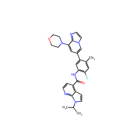 Cc1cc(F)c(NC(=O)c2ccnc3c2ccn3C(C)C)cc1-c1cc(N2CCOCC2)c2nccn2c1